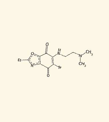 CCc1nc2c(o1)C(=O)C(NCCN(C)C)=C(Br)C2=O